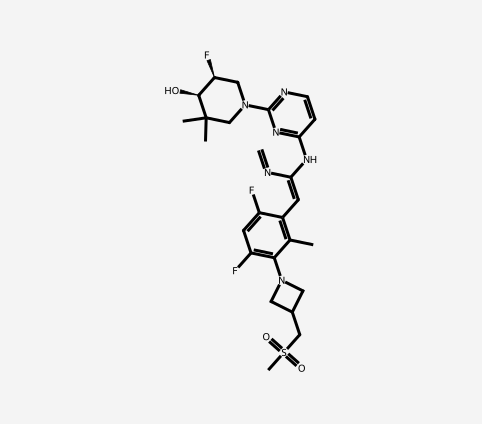 C=N/C(=C\c1c(F)cc(F)c(N2CC(CS(C)(=O)=O)C2)c1C)Nc1ccnc(N2C[C@H](F)[C@H](O)C(C)(C)C2)n1